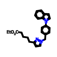 CCOC(=O)CCCCc1ccn(Cc2ccc(-n3ccc4ccccc43)cc2)n1